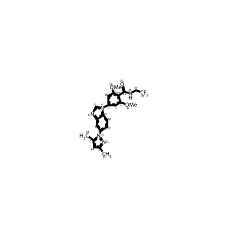 COc1cc(-n2cnc3cc(-n4nc(C)cc4C)ccc32)cc(OC)c1C(=O)NCC(F)(F)F